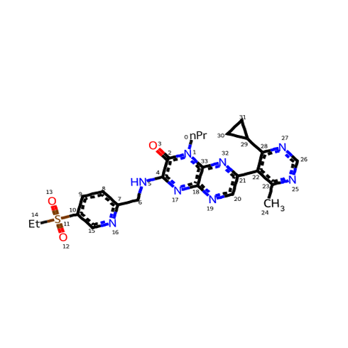 CCCn1c(=O)c(NCc2ccc(S(=O)(=O)CC)cn2)nc2ncc(-c3c(C)ncnc3C3CC3)nc21